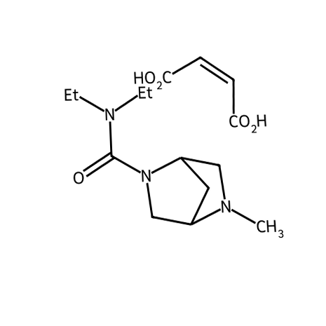 CCN(CC)C(=O)N1CC2CC1CN2C.O=C(O)/C=C\C(=O)O